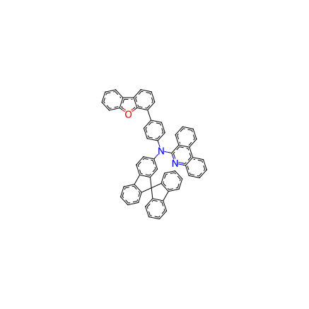 c1ccc2c(c1)-c1ccccc1C21c2ccccc2-c2ccc(N(c3ccc(-c4cccc5c4oc4ccccc45)cc3)c3nc4ccccc4c4ccccc34)cc21